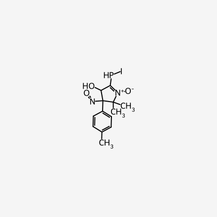 Cc1ccc(C2(N=O)C(O)C(PI)=[N+]([O-])C2(C)C)cc1